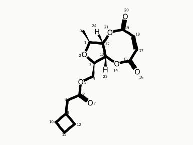 C[C@@H]1O[C@H](COC(=O)CC2CCC2)[C@H]2OC(=O)/C=C\C(=O)O[C@H]21